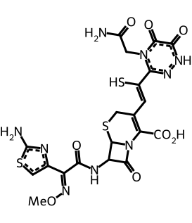 CON=C(C(=O)NC1C(=O)N2C(C(=O)O)=C(C=C(S)c3n[nH]c(=O)c(=O)n3CC(N)=O)CSC12)c1csc(N)n1